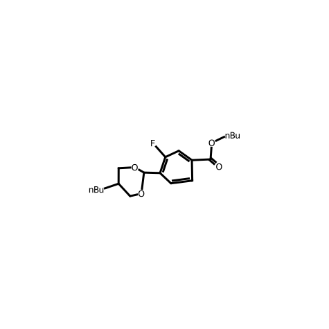 CCCCOC(=O)c1ccc(C2OCC(CCCC)CO2)c(F)c1